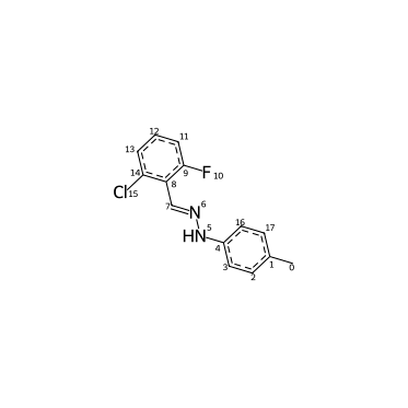 Cc1ccc(N/N=C/c2c(F)cccc2Cl)cc1